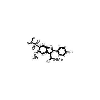 CNC(=O)c1c(-c2ccc(F)cc2)oc2cc(S(=O)(=O)N(C)C)c(OC(C)C)cc12